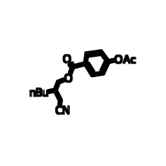 CCCCC(CC#N)COC(=O)c1ccc(OC(C)=O)cc1